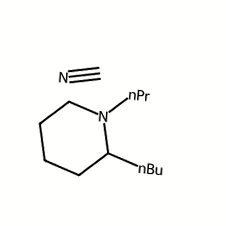 C#N.CCCCC1CCCCN1CCC